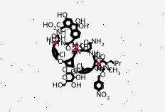 CC(C)C[C@H](C(=O)N[C@H]1C(=O)N[C@@H](CC(N)=O)C(=O)N[C@H]2C(=O)N[C@H]3C(=O)N[C@H](C(=O)N[C@H](C(=O)O)c4cc(O)cc5c4-c4cc3ccc4C5(O)O)[C@H](O)c3ccc(c(Cl)c3)Oc3cc2cc(c3O[C@@H]2O[C@H](CO)[C@@H](O)[C@H](O)[C@H]2O)Oc2ccc(cc2Cl)[C@H]1O)N(C)C(=O)OCc1ccc([N+](=O)[O-])cc1